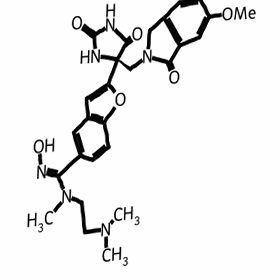 COc1ccc2c(c1)C(=O)N(C[C@@]1(c3cc4cc(/C(=N\O)N(C)CCN(C)C)ccc4o3)NC(=O)NC1=O)C2